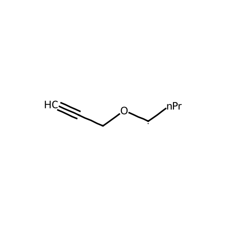 C#CCO[CH]CCC